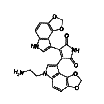 NCCn1cc(C2=C(c3c[nH]c4ccc5c(c34)OCO5)C(=O)NC2=O)c2c3c(ccc21)OCO3